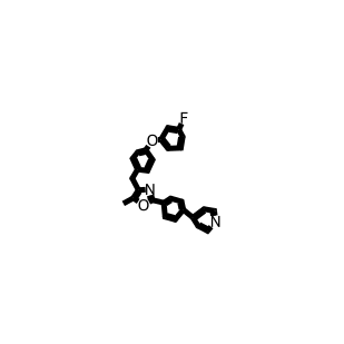 Cc1oc(-c2ccc(-c3ccncc3)cc2)nc1Cc1ccc(Oc2cccc(F)c2)cc1